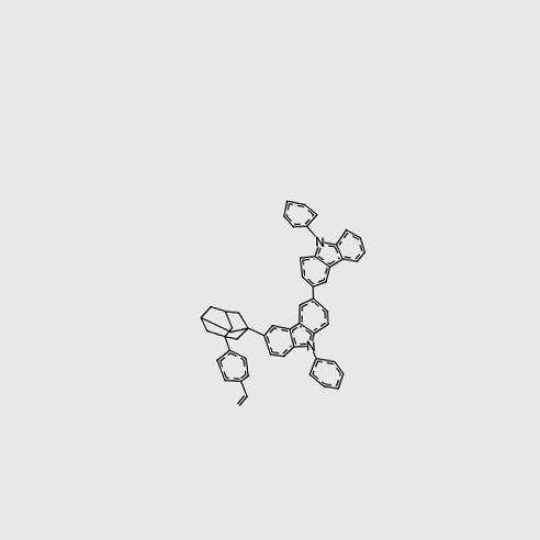 C=Cc1ccc(C23CC4CC(C2)CC(c2ccc5c(c2)c2cc(-c6ccc7c(c6)c6ccccc6n7-c6ccccc6)ccc2n5-c2ccccc2)(C4)C3)cc1